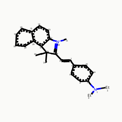 CCN(CC)c1ccc(/C=C/C2=[N+](C)c3ccc4ccccc4c3C2(C)C)cc1